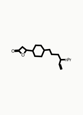 C=CC(CCC)CCCC1CCC(C2CC(=O)O2)CC1